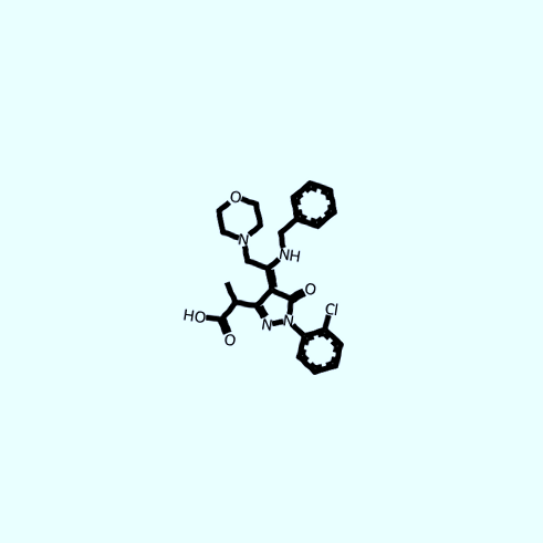 CC(C(=O)O)C1=NN(c2ccccc2Cl)C(=O)/C1=C(/CN1CCOCC1)NCc1ccccc1